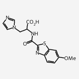 COc1ccc2nc(C(=O)NC(Cn3ccnc3)C(=O)O)sc2c1